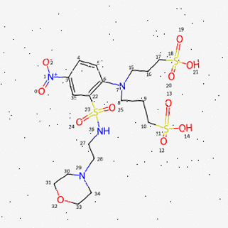 O=[N+]([O-])c1ccc(N(CCCS(=O)(=O)O)CCCS(=O)(=O)O)c(S(=O)(=O)NCCN2CCOCC2)c1